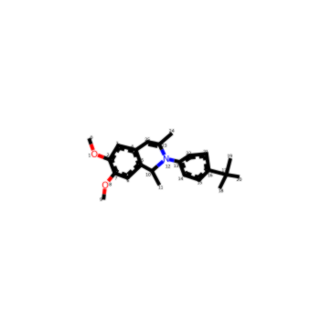 COc1cc2c(cc1OC)C(C)N(c1ccc(C(C)(C)C)cc1)C(C)=C2